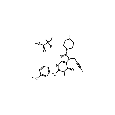 CC#CCn1c(N2CCNCC2)nc2nc(Oc3cccc(OC)c3)n(C)c(=O)c21.O=C(O)C(F)(F)F